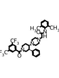 Cc1cccc(C)c1NC(=O)CN1CCN([C@@H]2CCN(C(=O)c3cc(C(F)(F)F)cc(C(F)(F)F)c3)C[C@@H]2c2ccccc2)CC1